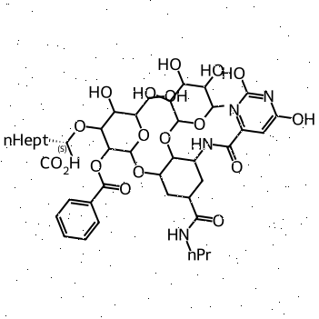 CCCCCCC[C@H](OC1C(O)C(CO)OC(OC2CC(C(=O)NCCC)CC(NC(=O)c3cc(O)nc(O)n3)C2OC2OC(C)C(O)C(O)C2O)C1OC(=O)c1ccccc1)C(=O)O